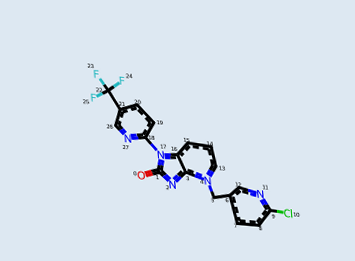 O=c1nc2n(Cc3ccc(Cl)nc3)cccc-2n1-c1ccc(C(F)(F)F)cn1